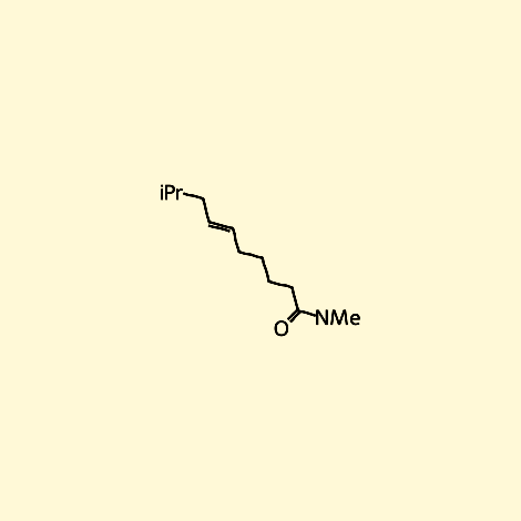 [CH2]NC(=O)CCCCC=CCC(C)C